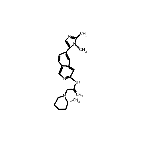 C=C(CN1CCCC[C@H]1C)Nc1cc2cc(-c3cnc(C)n3C)ccc2cn1